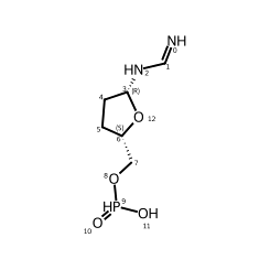 N=CN[C@H]1CC[C@@H](CO[PH](=O)O)O1